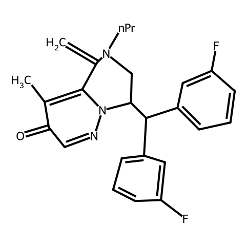 C=C1c2c(C)c(=O)cnn2C(C(c2cccc(F)c2)c2cccc(F)c2)CN1CCC